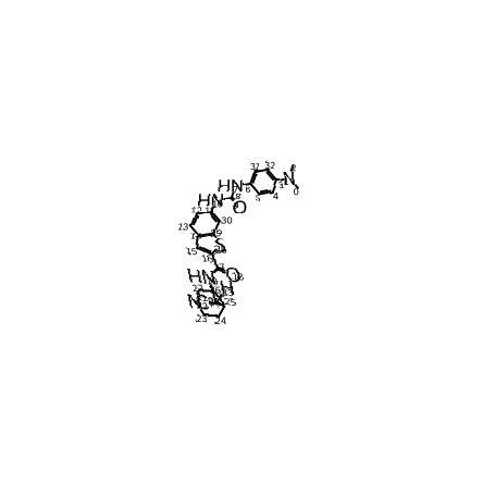 CN(C)c1ccc(NC(=O)Nc2ccc3cc(C(=O)N[C@H]4CN5CCC4CC5)sc3c2)cc1